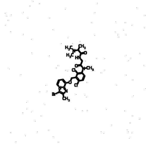 Cc1nc2c(OCc3c(Cl)ccc(N(C)C(=O)CNC(=O)C(C)N(C)C)c3Cl)cccn2c1Br